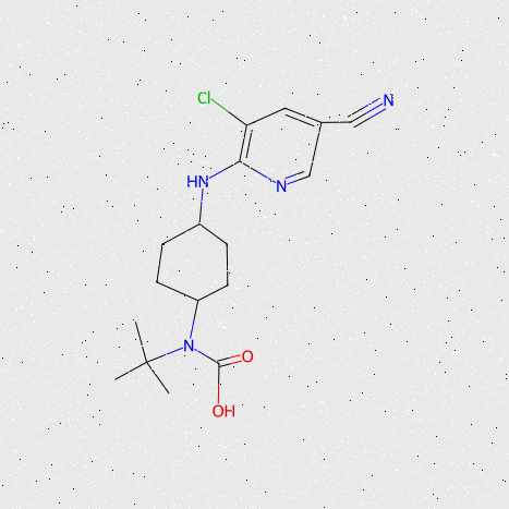 CC(C)(C)N(C(=O)O)C1CCC(Nc2ncc(C#N)cc2Cl)CC1